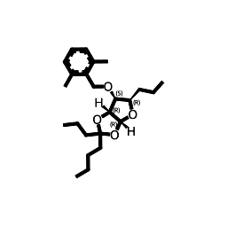 CCCCC1(CCC)O[C@H]2O[C@H](CCC)[C@H](OCc3c(C)cccc3C)[C@H]2O1